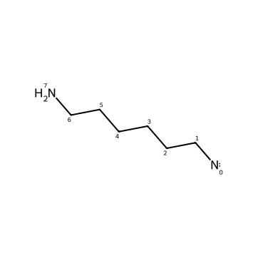 [N]CCCCCCN